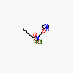 CCCCCCC/C=C1/SC(=O)N(CCCCOc2cccn3ccnc23)C1=O.Cl